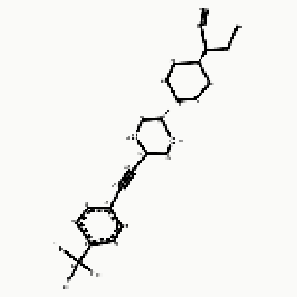 C=CC(CC)[C@H]1CC[C@H](C2COC(C#Cc3ccc(C(F)(F)F)cc3)CO2)CC1